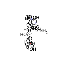 CCN(C(=O)CN)C1COC(OC2C(O[C@H]3C#C/C=C\C#C[C@]4(O)CC(=O)C(NC(=O)OC)=C3/C4=C\CSSC(C)(C)C)OC(C)C(NOC3CC(O)C(SC(=O)c4c(C)c(I)c(OC5OC(C)C(O)C(OC)C5O)c(OC)c4OC)C(C)O3)C2O)CC1OC